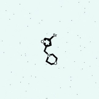 Brc1coc(CN2CCOCC2)c1